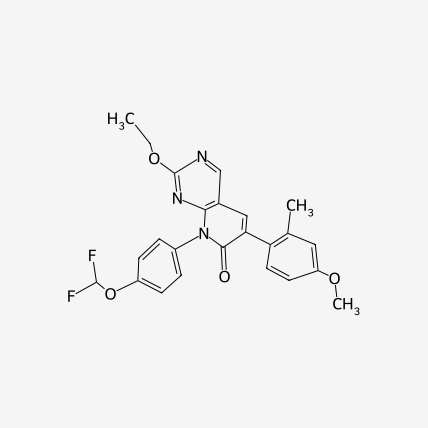 CCOc1ncc2cc(-c3ccc(OC)cc3C)c(=O)n(-c3ccc(OC(F)F)cc3)c2n1